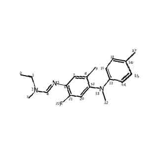 CCN(C)/C=N/c1cc(C)c(N(C)c2ccc(C)cc2)cc1F